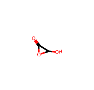 O=C1O[C]1O